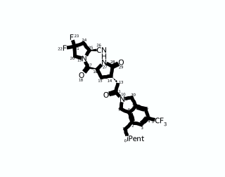 CCCC(C)Cc1cc(C(F)(F)F)cc2c1CN(C(=O)C[C@@H]1C[C@@H](C(=O)N3CC(F)(F)C[C@H]3C#N)NC1=O)C2